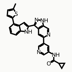 Cc1ccc(-c2cccc3[nH]c(-c4n[nH]c5cnc(-c6cncc(NC(=O)C7CC7)c6)cc45)cc23)s1